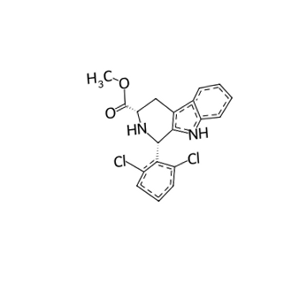 COC(=O)[C@@H]1Cc2c([nH]c3ccccc23)[C@H](c2c(Cl)cccc2Cl)N1